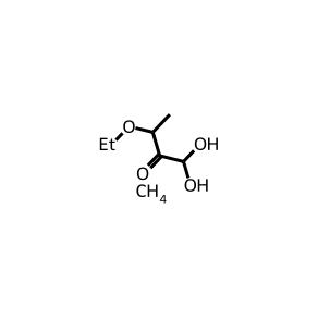 C.CCOC(C)C(=O)C(O)O